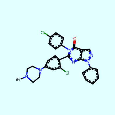 CC(C)N1CCN(c2ccc(-c3nc4c(cnn4-c4ccccc4)c(=O)n3-c3ccc(Cl)cc3)c(Cl)c2)CC1